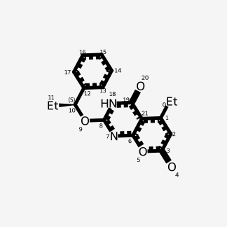 CCc1cc(=O)oc2nc(O[C@@H](CC)c3ccccc3)[nH]c(=O)c12